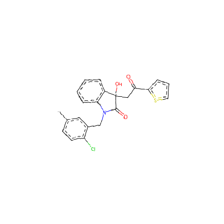 [CH2]c1ccc(Cl)c(CN2C(=O)C(O)(CC(=O)c3cccs3)c3ccccc32)c1